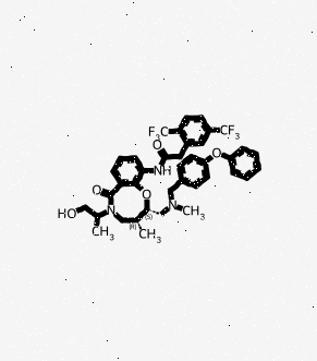 CC(CO)N1C[C@@H](C)[C@@H](CN(C)Cc2ccc(Oc3ccccc3)cc2)Oc2c(NC(=O)Cc3cc(C(F)(F)F)ccc3C(F)(F)F)cccc2C1=O